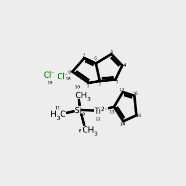 C1=CC2=CC=CC2=C1.C[Si](C)(C)[Ti+2][C]1=CCC=C1.[Cl-].[Cl-]